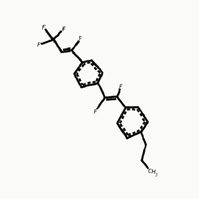 CCCc1ccc(/C(F)=C(\F)c2ccc(/C(F)=C/C(F)(F)F)cc2)cc1